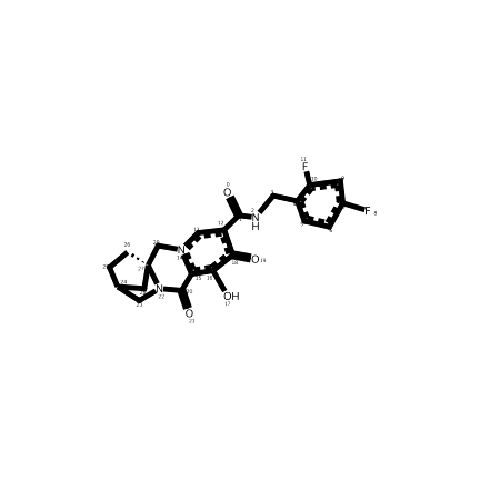 O=C(NCc1ccc(F)cc1F)c1cn2c(c(O)c1=O)C(=O)N1CC3CC[C@]1(C3)C2